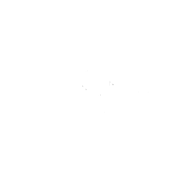 CCOC(=O)C1CCC2C(=O)N(c3ccc(Cl)cc3)C(=O)N12